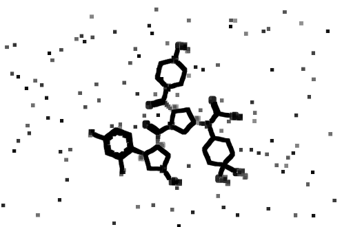 CN1CCN(C(=O)[C@@H]2C[C@H](N(C(=O)C(C)(C)C)C3CCC(C)(C)CC3)CN2C(=O)[C@@H]2CN(C(C)(C)C)C[C@H]2c2ccc(F)cc2F)CC1